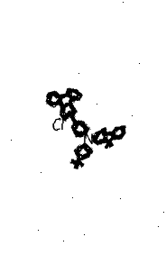 CC(C)(C)c1ccc(N(c2ccc(-c3cc4c5ccccc5c5ccccc5c4cc3Cl)cc2)c2ccc3c(c2)C(C)(C)c2ccccc2-3)cc1